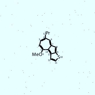 COc1ccc(C(C)C)cc2cc3sccc3c1-2